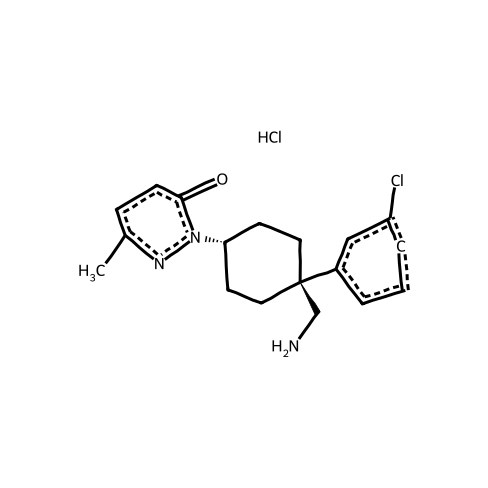 Cc1ccc(=O)n([C@H]2CC[C@@](CN)(c3cccc(Cl)c3)CC2)n1.Cl